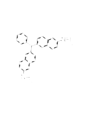 Nc1ccc2cc(C(c3ccccc3)c3ccc4cc(N)ccc4c3)ccc2c1